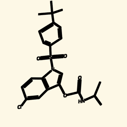 CC(C)NC(=O)Oc1cn(S(=O)(=O)c2ccc(C(C)(C)C)cc2)c2ccc(Cl)cc12